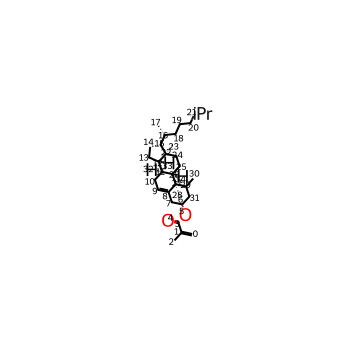 C=C(C)C(=O)O[C@@H]1CC2=CC[C@H]3[C@@H]4CC[C@H]([C@H](C)CCCC(C)C)[C@@]4(C)CC[C@@H]3[C@@]2(C)C(C)C1